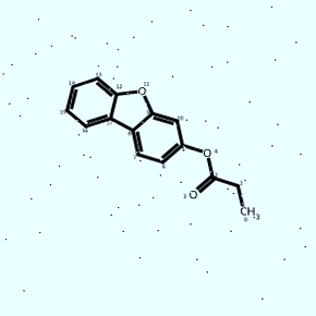 CCC(=O)Oc1ccc2c(c1)oc1ccccc12